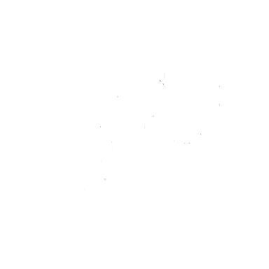 Cc1ccc(-c2ccc3c4c(ccc3c2)Nc2cccc3cccc-4c23)cc1